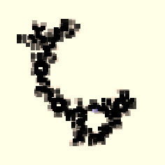 COc1ccc(C[C@H]2NC(=O)/C=C/C[C@@H]([C@H](C)[C@@H]3O[C@H]3c3ccc(CNC(=O)OCc4ccc(NC(=O)[C@H](CCCNC(N)=O)NC(=O)[C@@H](N)C(C)C)cc4)cc3)OC(=O)[C@H](CC(C)C)OC(=O)C(C)(C)CNC2=O)cc1Cl